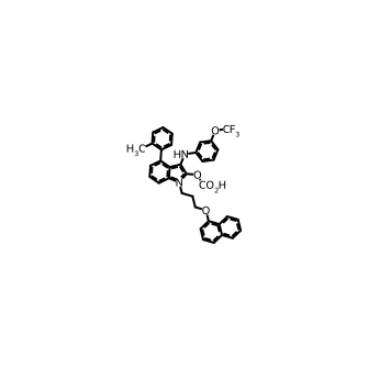 Cc1ccccc1-c1cccc2c1c(Nc1cccc(OC(F)(F)F)c1)c(OC(=O)O)n2CCCOc1cccc2ccccc12